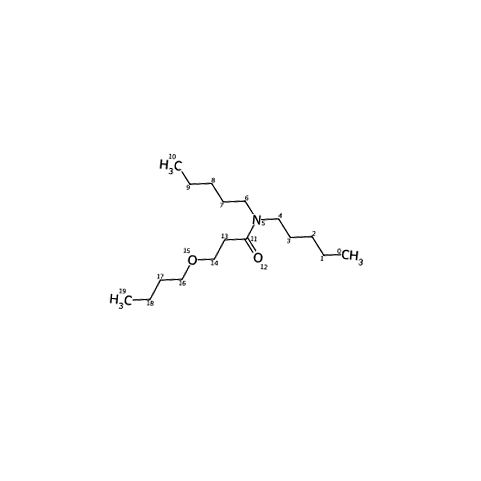 CCCCCN(CCCCC)C(=O)CCOCCCC